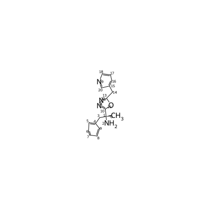 C[C@@](N)(Cc1ccccc1)c1nnc(Cc2cccnc2)o1